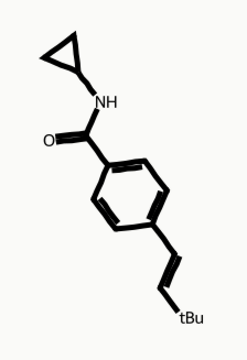 CC(C)(C)/C=C/c1ccc(C(=O)NC2CC2)cc1